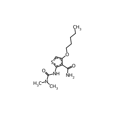 CCCCCOc1csc(NC(=O)N(C)C)c1C(N)=O